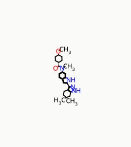 CO[C@H]1CC[C@@H](C(=O)N(C)c2ccc3cc(-c4n[nH]c5c4CCC(C)(C)C5)[nH]c3c2)CC1